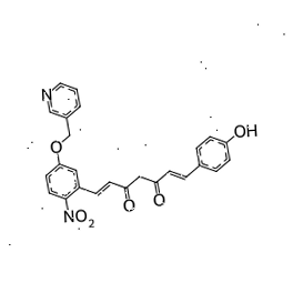 O=C(C=Cc1ccc(O)cc1)CC(=O)C=Cc1cc(OCc2cccnc2)ccc1[N+](=O)[O-]